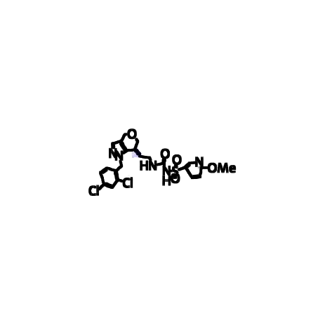 COc1ccc(S(=O)(=O)NC(=O)NC/C=C2\COCc3cnn(Cc4ccc(Cl)cc4Cl)c32)cn1